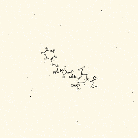 COc1cc(C(=O)O)cc([N+](=O)[O-])c1NCC1CN(C(=O)OCc2ccccc2)C1